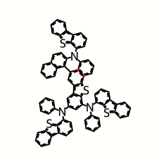 c1ccc(N(c2cc(N(c3ccccc3)c3cccc4c3sc3ccccc34)c3sc4ccc(-c5c(N(c6ccccc6)c6cccc7c6sc6ccccc67)ccc6ccccc56)cc4c3c2)c2cccc3c2sc2ccccc23)cc1